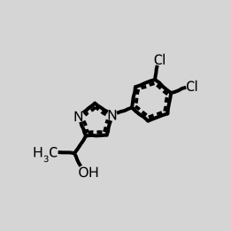 CC(O)c1cn(-c2ccc(Cl)c(Cl)c2)cn1